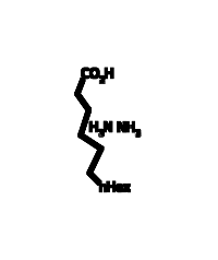 CCCCCCCCCCCC(=O)O.N.N